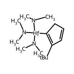 C[N](C)[Hf]([C]1=C(C(C)(C)C)C=CC1)([N](C)C)[N](C)C